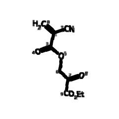 C=C(C#N)C(=O)OCC(=O)C(=O)OCC